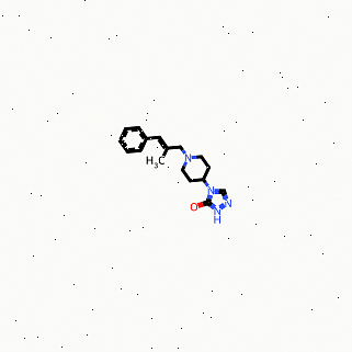 C/C(=C\c1ccccc1)CN1CCC(n2cn[nH]c2=O)CC1